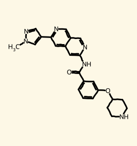 Cn1cc(-c2cc3cc(NC(=O)c4cccc(OC5CCNCC5)c4)ncc3cn2)cn1